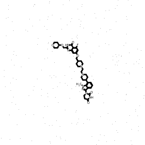 Cn1nc(N2CCC(=O)NC2=O)c2cccc(C3CCN(CCN4CCC(COc5cc(F)c6c(=O)[nH]c(COC7CCOCC7)nc6c5)CC4)CC3)c21